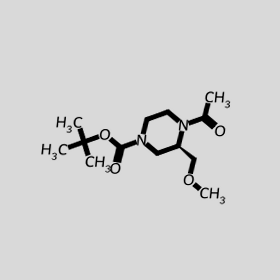 COC[C@H]1CN(C(=O)OC(C)(C)C)CCN1C(C)=O